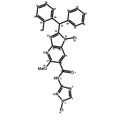 CCn1cnc(NC(=O)c2cc3c(nc2OC)nc(C(c2ccccc2)c2ccccc2C)n3CC)n1